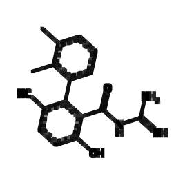 Cc1cccc(-c2c(C#N)ccc(O)c2C(=O)NC(=N)N)c1C